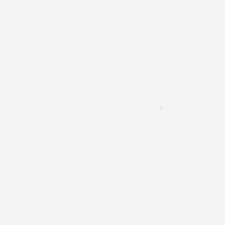 CC(Cl)=CC(=S)Sc1ccccc1